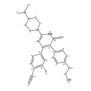 CN(C)C1CCN(c2nc(-c3ccc(C#N)c(F)c3)c(-c3ccc(OCO)cc3)c(=O)[nH]2)CC1